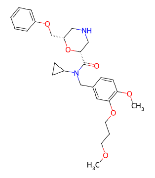 COCCCOc1cc(CN(C(=O)[C@H]2CNC[C@@H](COc3ccccc3)O2)C2CC2)ccc1OC